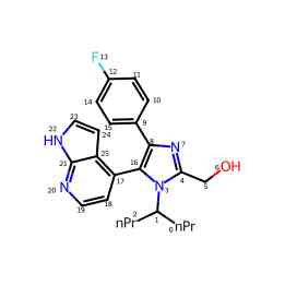 CCCC(CCC)n1c(CO)nc(-c2ccc(F)cc2)c1-c1ccnc2[nH]ccc12